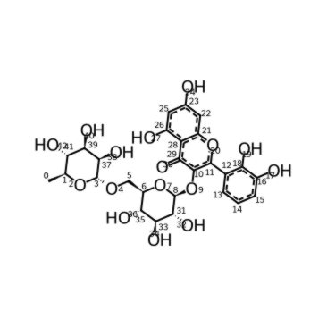 C[C@@H]1O[C@@H](OC[C@H]2O[C@@H](Oc3c(-c4cccc(O)c4O)oc4cc(O)cc(O)c4c3=O)[C@H](O)[C@@H](O)[C@@H]2O)[C@H](O)[C@H](O)[C@H]1O